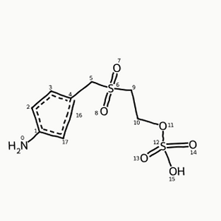 Nc1ccc(CS(=O)(=O)CCOS(=O)(=O)O)cc1